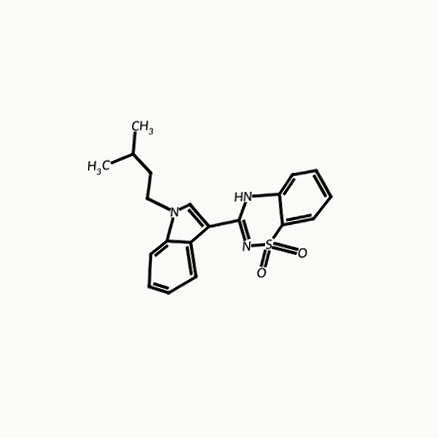 CC(C)CCn1cc(C2=NS(=O)(=O)c3ccccc3N2)c2ccccc21